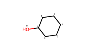 O[C]1CCCCC1